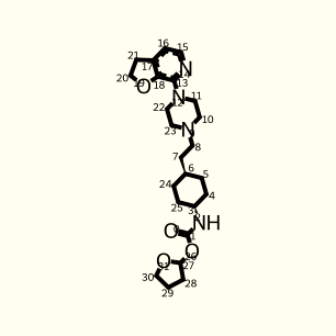 O=C(N[C@H]1CC[C@H](CCN2CCN(c3nccc4c3OCC4)CC2)CC1)OC1CCCO1